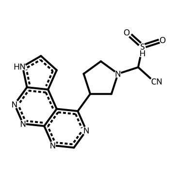 N#CC(N1CCC(c2ncnc3nnc4[nH]ccc4c23)C1)[SH](=O)=O